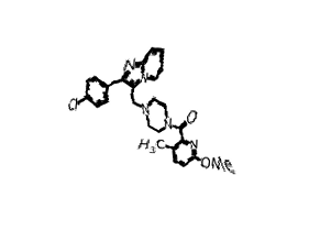 COc1ccc(C)c(C(=O)N2CCN(Cc3c(-c4ccc(Cl)cc4)nc4ccccn34)CC2)n1